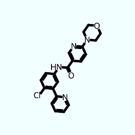 O=C(Nc1ccc(Cl)c(-c2ccccn2)c1)c1ccc(N2CCOCC2)nc1